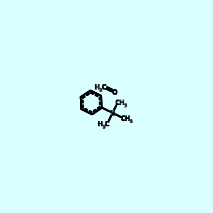 C=O.C[Si](C)(C)c1ccccc1